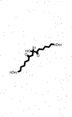 CCCCCCCCCCCCCCCC(=O)[CH]C(O)(CC)C(=O)CCCCCCCCCCCCCCC